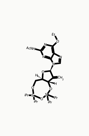 C=C1[C@H](n2cnc3c(OCC)nc(NC(C)=O)nc32)O[C@@H]2CO[Si](C(C)C)(C(C)C)O[Si](C(C)C)(C(C)C)O[C@@H]12